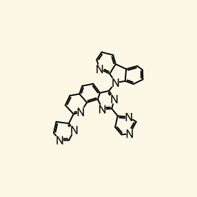 c1ccc2c(c1)c1cccnc1n2-c1nc(-c2ccncn2)nc2c1ccc1ccc(-c3ccncn3)nc12